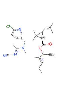 C#CC(OC(=O)[C@@H]1C(C=C(C)C)C1(C)C)/C(C)=C/CC.C/C(=N\C#N)N(C)Cc1ccc(Cl)nc1